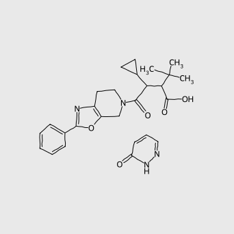 CC(C)(C)C(C(=O)O)C(C(=O)N1CCc2nc(-c3ccccc3)oc2C1)C1CC1.O=c1cccn[nH]1